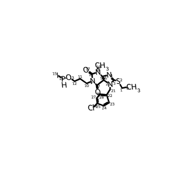 CCSc1nc2c(c(=O)n(CCCOPI)c(=O)n2C)n1Cc1ccc(Cl)cc1